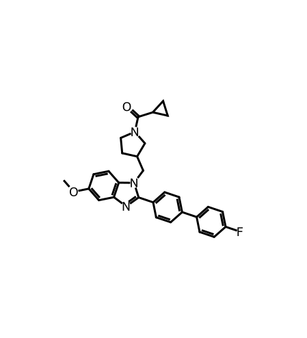 COc1ccc2c(c1)nc(-c1ccc(-c3ccc(F)cc3)cc1)n2CC1CCN(C(=O)C2CC2)C1